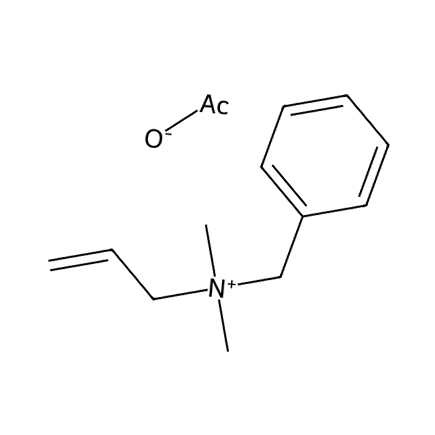 C=CC[N+](C)(C)Cc1ccccc1.CC(=O)[O-]